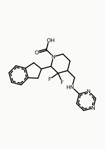 O=C(O)N1CCC(CNc2ccncn2)C(F)(F)C1C1Cc2ccccc2C1